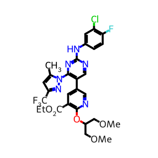 CCOC(=O)c1cc(-c2cnc(Nc3ccc(F)c(Cl)c3)nc2-n2nc(C(F)(F)F)cc2C)cnc1OC(COC)COC